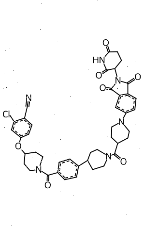 N#Cc1ccc(OC2CCN(C(=O)c3ccc(C4CCN(C(=O)C5CCN(c6ccc7c(c6)C(=O)N(C6CCC(=O)NC6=O)C7=O)CC5)CC4)cc3)CC2)cc1Cl